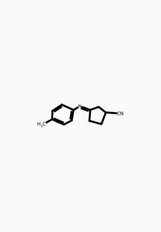 Cc1ccc(/N=C2\CCC(C#N)C2)cc1